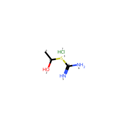 CC(O)SC(=N)N.Cl